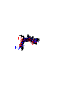 C/C=C/C[C@@H](C)[C@H](O)C(C(=O)N[C@@H](CC)C(=O)N(C)CC(=O)N(C)[C@@H](CCCC)C(N)=O)N(C)C(=O)[C@H](C(C)C)N(C)C(=O)[C@@H](CC(C)C)N(C)C(=O)[C@@H](CC(C)C)N(C)C(=O)[C@H](C)NC(=O)C(CC(C)C)NC(=O)[C@H](C)N(C)C(=O)[C@H](C)C(C)(C)C